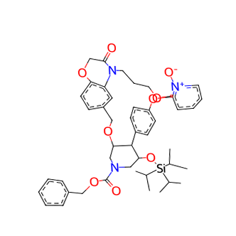 COCCCN1C(=O)COc2ccc(COC3CN(C(=O)OCc4ccccc4)CC(O[Si](C(C)C)(C(C)C)C(C)C)C3c3ccc(Oc4cccc[n+]4[O-])cc3)cc21